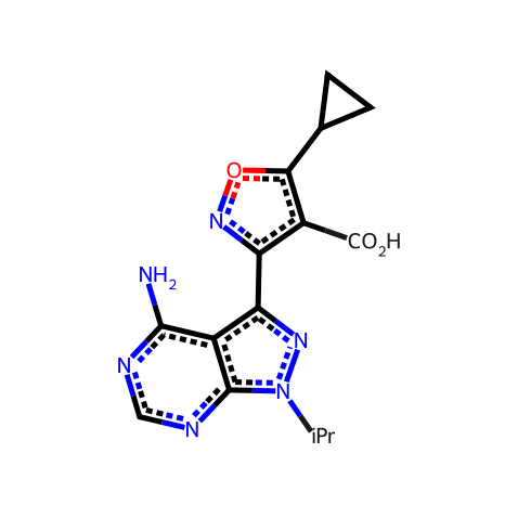 CC(C)n1nc(-c2noc(C3CC3)c2C(=O)O)c2c(N)ncnc21